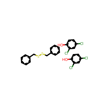 Oc1ccc(Cl)cc1Cl.Oc1ccc(Cl)cc1Cl.c1ccc(CSSCc2ccccc2)cc1